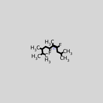 C/C(=C(\F)CC(C)C)[C@@H](F)CC(C)C(C)C